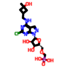 CC1(O)CC(CNc2nc(Cl)nc3c2cnn3[C@@H]2O[C@H](COCP(=O)(O)O)[C@@H](O)[C@H]2O)C1